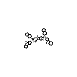 c1ccc2cc(N(c3ccc4c(c3)oc3ccccc34)c3cc4sc5cc(N(c6ccc7ccccc7c6)c6ccc7c(c6)oc6ccccc67)ncc5c4cn3)ccc2c1